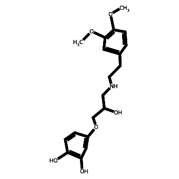 COc1ccc(CCNCC(O)COc2ccc(O)c(O)c2)cc1OC